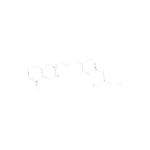 O=C1CC=CC2=CN(CCOc3ccc(CC(O)C(=O)O)cc3)NC=C12